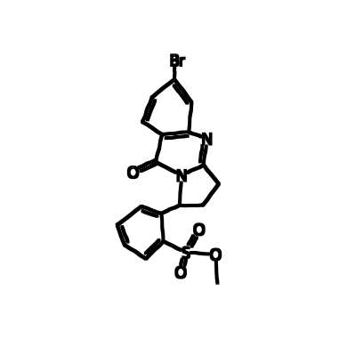 COS(=O)(=O)c1ccccc1C1CCc2nc3cc(Br)ccc3c(=O)n21